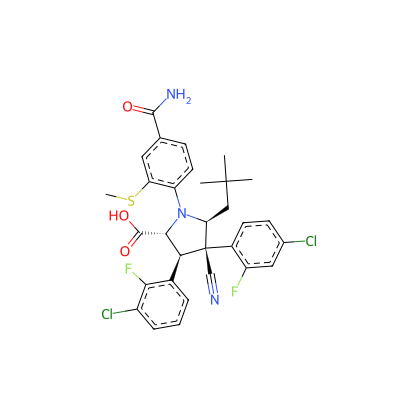 CSc1cc(C(N)=O)ccc1N1[C@@H](CC(C)(C)C)[C@](C#N)(c2ccc(Cl)cc2F)[C@@H](c2cccc(Cl)c2F)[C@@H]1C(=O)O